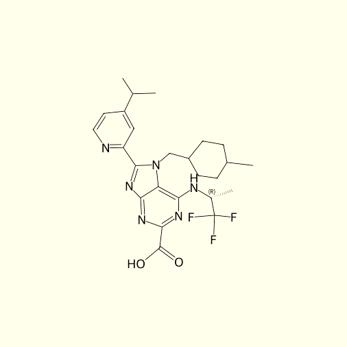 CC1CCC(Cn2c(-c3cc(C(C)C)ccn3)nc3nc(C(=O)O)nc(N[C@H](C)C(F)(F)F)c32)CC1